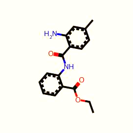 CCOC(=O)c1ccccc1NC(=O)c1ccc(C)cc1N